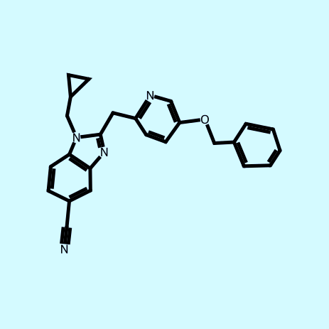 N#Cc1ccc2c(c1)nc(Cc1ccc(OCc3ccccc3)cn1)n2CC1CC1